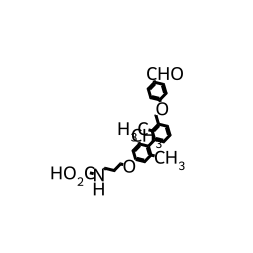 Cc1cc(OCCCNC(=O)O)cc(C)c1-c1cccc(COc2ccc(C=O)cc2)c1C